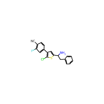 N#Cc1ccc(-c2cc(C(N)Cc3ccccc3)sc2Cl)cc1F